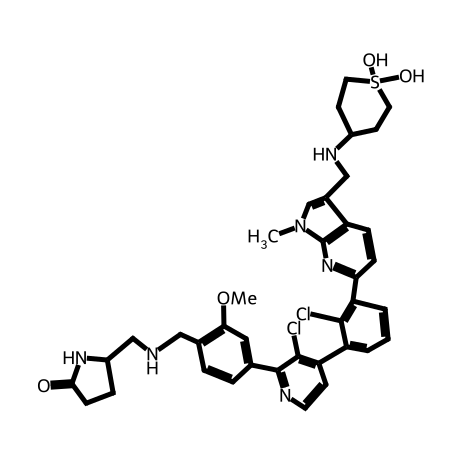 COc1cc(-c2nccc(-c3cccc(-c4ccc5c(CNC6CCS(O)(O)CC6)cn(C)c5n4)c3Cl)c2Cl)ccc1CNCC1CCC(=O)N1